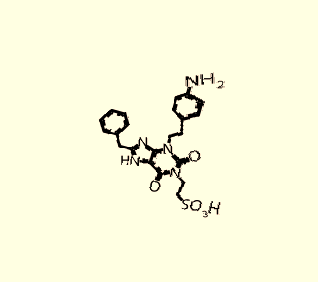 Nc1ccc(CCn2c(=O)n(CCS(=O)(=O)O)c(=O)c3[nH]c(Cc4ccccc4)nc32)cc1